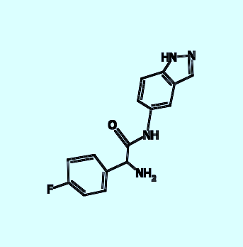 NC(C(=O)Nc1ccc2[nH]ncc2c1)c1ccc(F)cc1